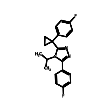 CC(C)n1c(-c2ccc(F)cc2)nnc1C1(c2ccc(F)cc2)CC1